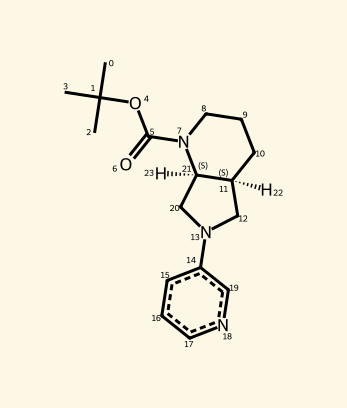 CC(C)(C)OC(=O)N1CCC[C@H]2CN(c3cccnc3)C[C@H]21